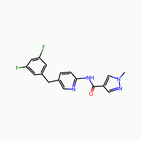 Cn1cc(C(=O)Nc2ccc(Cc3cc(F)cc(F)c3)cn2)cn1